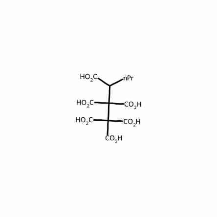 CCCC(C(=O)O)C(C(=O)O)(C(=O)O)C(C(=O)O)(C(=O)O)C(=O)O